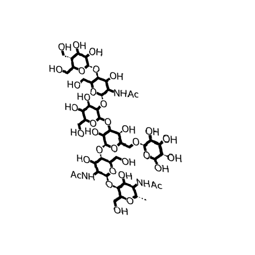 CC(=O)NC1C(O)[C@H](O[C@@H]2OC(CO[C@H]3OC(O)[C@@H](O)C(O)C3O)[C@@H](O)C(OC3OC(CO)C(O)C(O)C3O[C@@H]3OC(CO)[C@@H](O[C@@H]4OC(CO)[C@H](CO)C(O)C4O)C(O)C3NC(C)=O)C2O)C(CO)O[C@H]1O[C@@H]1C(CO)O[C@@H](C)C(NC(C)=O)C1O